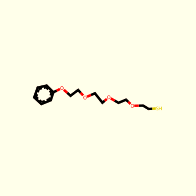 SCCOCCOCCOCCOc1ccccc1